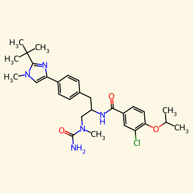 CC(C)Oc1ccc(C(=O)NC(Cc2ccc(-c3cn(C)c(C(C)(C)C)n3)cc2)CN(C)C(N)=O)cc1Cl